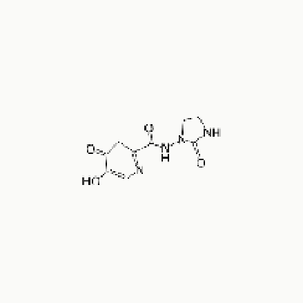 O=C1CC(C(=O)NN2CCNC2=O)=NC=C1O